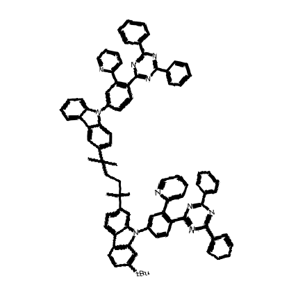 CC(C)(C)c1ccc2c3ccc(C(C)(C)CCC(C)(C)c4ccc5c(c4)c4ccccc4n5-c4ccc(-c5nc(-c6ccccc6)nc(-c6ccccc6)n5)c(-c5ccccn5)c4)cc3n(-c3ccc(-c4nc(-c5ccccc5)nc(-c5ccccc5)n4)c(-c4ccccn4)c3)c2c1